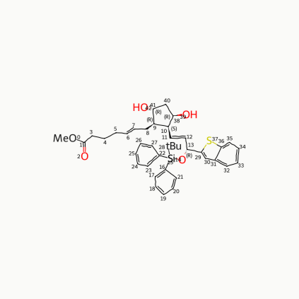 COC(=O)CCCC=CC[C@@H]1[C@H](C=C[C@@H](O[Si](c2ccccc2)(c2ccccc2)C(C)(C)C)c2cc3ccccc3s2)[C@H](O)C[C@H]1O